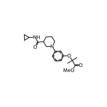 COC(=O)C(C)(C)Oc1cccc(N2CCCC(C(=O)NC3CC3)C2)c1